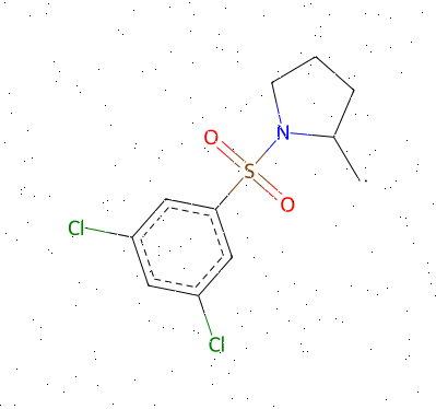 [CH2]C1CCCN1S(=O)(=O)c1cc(Cl)cc(Cl)c1